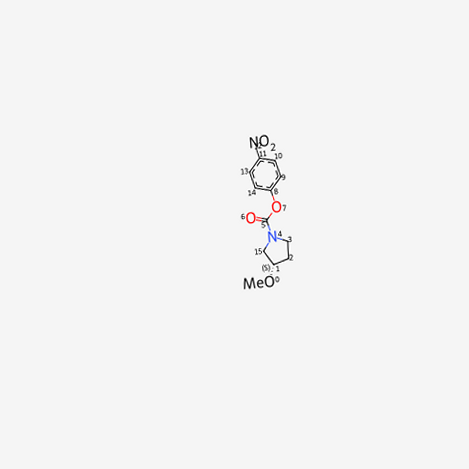 CO[C@H]1CCN(C(=O)Oc2ccc([N+](=O)[O-])cc2)C1